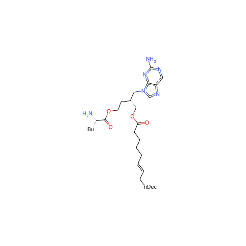 CCCCCCCCCCCC=CCCCCC(=O)OC[C@H](CCOC(=O)[C@@H](N)[C@@H](C)CC)Cn1cnc2cnc(N)nc21